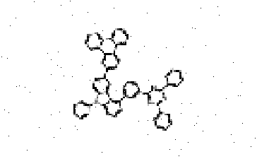 c1ccc(-c2nc(-c3ccccc3)nc(-c3cccc(-c4cccc5c4c4cc(-c6ccc7c8ccccc8c8ccccc8c7c6)ccc4n5-c4ccccc4)c3)n2)cc1